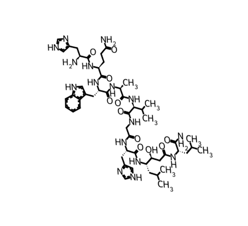 CC(C)C[C@H](NC(=O)C[C@H](O)[C@H](CC(C)C)NC(=O)[C@H](Cc1c[nH]cn1)NC(=O)CNC(=O)[C@@H](NC(=O)[C@H](C)NC(=O)[C@H](Cc1c[nH]c2ccccc12)NC(=O)[C@H](CCC(N)=O)NC(=O)[C@@H](N)Cc1c[nH]cn1)C(C)C)C(N)=O